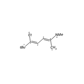 CC/C(=C\C=C(/C)NC)C(C)(C)C